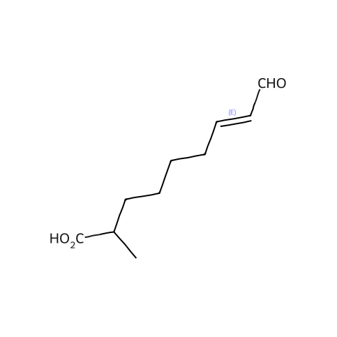 CC(CCCC/C=C/C=O)C(=O)O